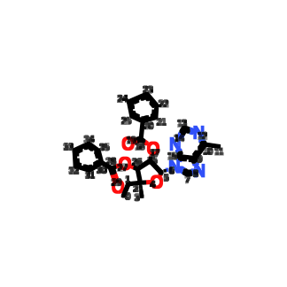 CC[C@@]1(C)O[C@@H](n2cnc3c(C)ncnc32)[C@@H](OC(=O)c2ccccc2)C1OC(=O)c1ccccc1